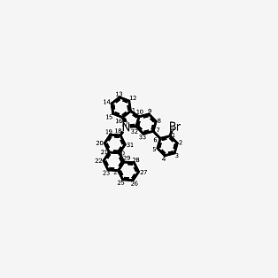 Brc1ccccc1-c1ccc2c3ccccc3n(-c3ccc4ccc5ccccc5c4c3)c2c1